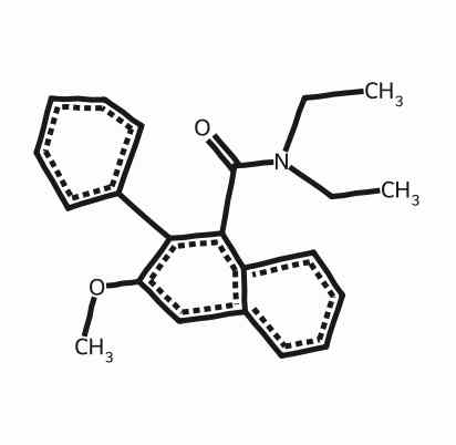 CCN(CC)C(=O)c1c(-c2ccccc2)c(OC)cc2ccccc12